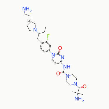 CCC(Cc1ccc(-n2ccc(NC(=O)N3CCN(C(=O)C(C)(C)N)CC3)nc2=O)cc1F)N1CC[C@H](CCN)C1